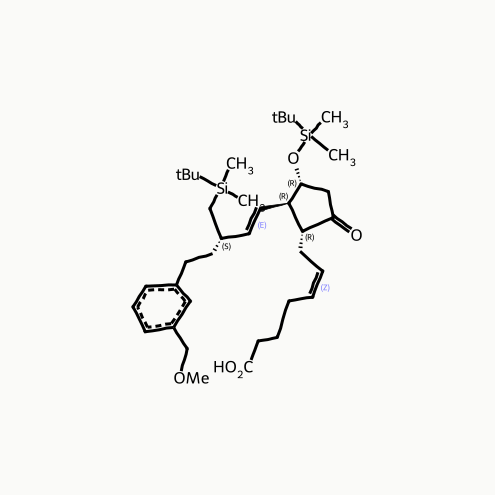 COCc1cccc(CC[C@@H](/C=C/[C@H]2[C@H](O[Si](C)(C)C(C)(C)C)CC(=O)[C@@H]2C/C=C\CCCC(=O)O)C[Si](C)(C)C(C)(C)C)c1